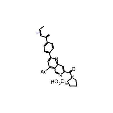 C=C(/C=C\C)c1ccc(-c2cc(C(C)=O)c3cnc(C(=O)N4CCC[C@@H]4C(=O)O)cc3n2)cc1